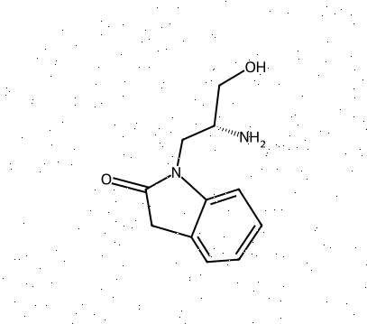 N[C@@H](CO)CN1C(=O)Cc2ccccc21